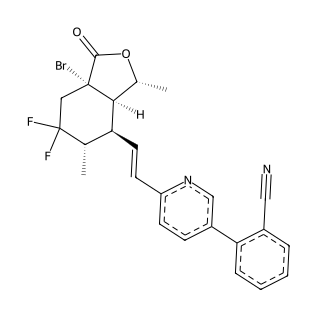 C[C@H]1OC(=O)[C@]2(Br)CC(F)(F)[C@@H](C)[C@H](/C=C/c3ccc(-c4ccccc4C#N)cn3)[C@H]12